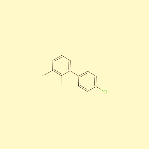 [CH2]c1cccc(-c2ccc(Cl)cc2)c1C